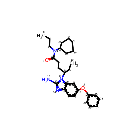 CCCN(C(=O)CCC(CC)n1c(N)nc2ccc(Oc3ccccc3)cc21)C1CCCCC1